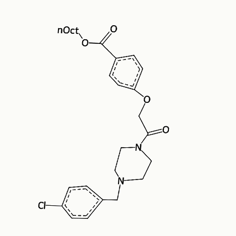 CCCCCCCCOC(=O)c1ccc(OCC(=O)N2CCN(Cc3ccc(Cl)cc3)CC2)cc1